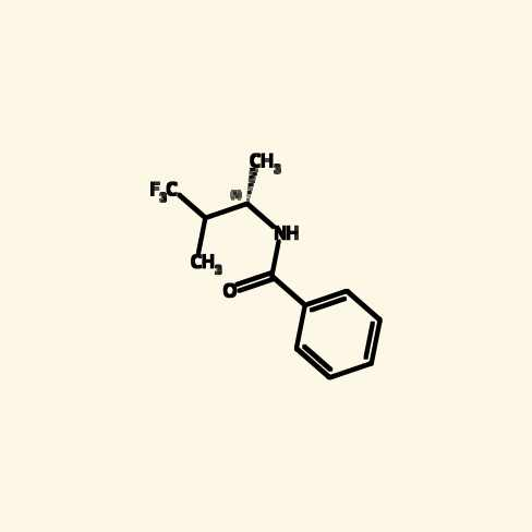 CC([C@H](C)NC(=O)c1ccccc1)C(F)(F)F